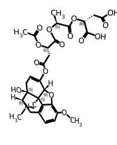 COc1ccc2c3c1O[C@H]1C(OC(=O)C[C@H](OC(C)=O)C(=O)O[C@@H](C)C(=O)O[C@H](CC(=O)O)C(=O)O)=CC[C@@]4(O)[C@@H](C2)N(C)CC[C@]314